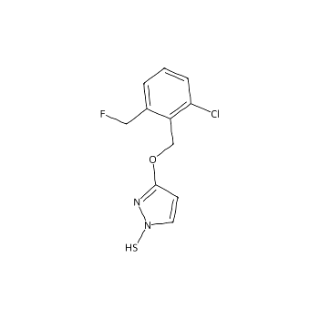 FCc1cccc(Cl)c1COc1ccn(S)n1